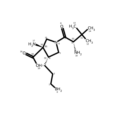 BCCC[C@H]1CN(C(=O)[C@@H](N)C(C)(C)C)C[C@@]1(N)C(=O)O